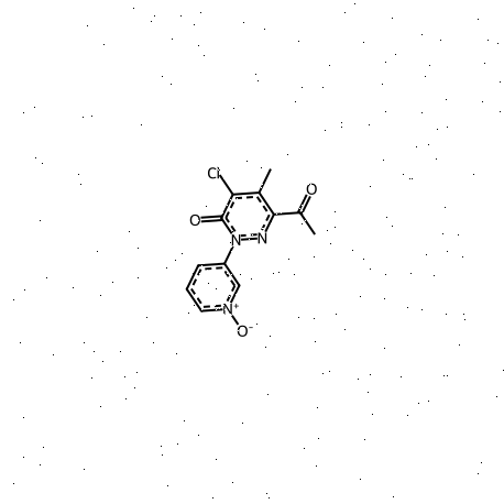 CC(=O)c1nn(-c2ccc[n+]([O-])c2)c(=O)c(Cl)c1C